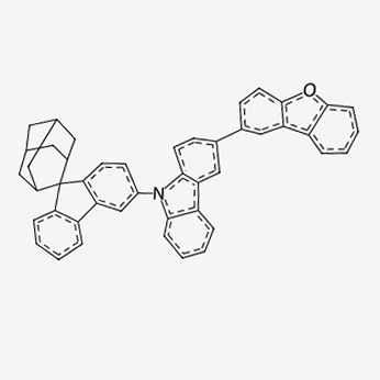 c1ccc2c(c1)-c1cc(-n3c4ccccc4c4cc(-c5ccc6oc7ccccc7c6c5)ccc43)ccc1C21C2CC3CC(C2)CC1C3